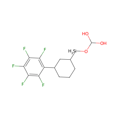 OC(O)O[SiH2]C1CCCC(c2c(F)c(F)c(F)c(F)c2F)C1